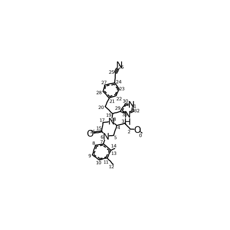 COCCC1CN(c2cccc(C)c2C)C(=O)CN1C(Cc1ccc(C#N)cc1)c1cnc[nH]1